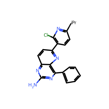 CC(C)c1ccc(-c2ccc3nc(N)nc(-c4ccccc4)c3n2)c(Cl)n1